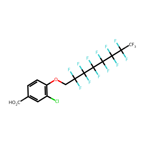 O=C(O)c1ccc(OCC(F)(F)C(F)(F)C(F)(F)C(F)(F)C(F)(F)C(F)(F)C(F)(F)F)c(Cl)c1